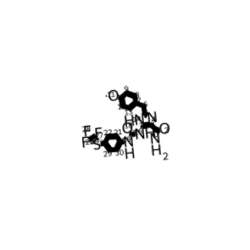 NC(=O)c1nc(Cc2ccc([O])cc2)[nH]c1NC(=O)Nc1ccc(SC(F)(F)F)cc1